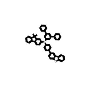 CC1(C)c2ccccc2-c2ccc(N(c3ccc(-c4ccc5oc6ccccc6c5c4)cc3)c3cc(-c4ccccc4)cc(-c4ccccc4)c3)cc21